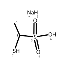 CC(S)S(=O)(=O)O.[NaH]